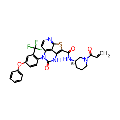 C=CC(=O)N1CCC[C@@H](NC(=O)c2sc3nccc4c3c2NC(=O)N4c2ccc(Oc3ccccc3)cc2C(F)(F)F)C1